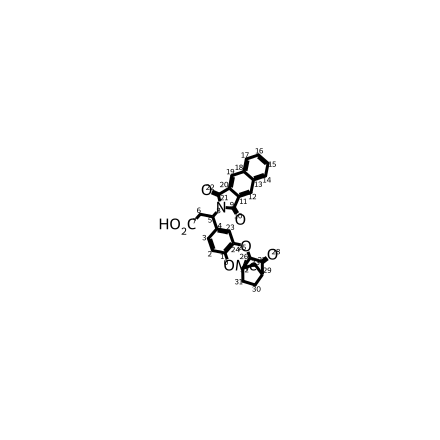 COc1ccc(C(CC(=O)O)N2C(=O)c3cc4ccccc4cc3C2=O)cc1OC1C(=O)C2CCC1C2